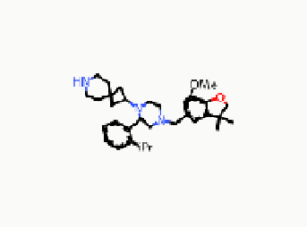 COc1cc(CN2CCN(C3CC4(CCNCC4)C3)C(c3ccccc3C(C)C)C2)cc2c1OCC2(C)C